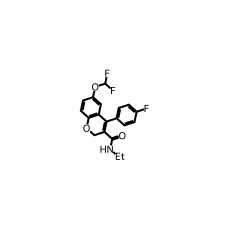 CCNC(=O)C1=C(c2ccc(F)cc2)c2cc(OC(F)F)ccc2OC1